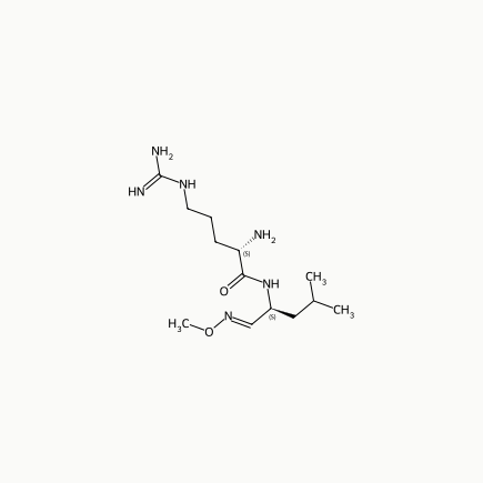 CON=C[C@H](CC(C)C)NC(=O)[C@@H](N)CCCNC(=N)N